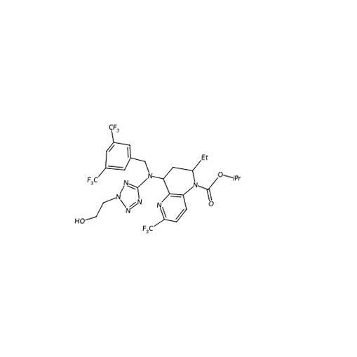 CCC1CC(N(Cc2cc(C(F)(F)F)cc(C(F)(F)F)c2)c2nnn(CCO)n2)c2nc(C(F)(F)F)ccc2N1C(=O)OC(C)C